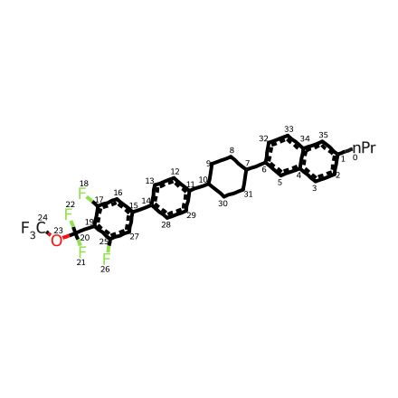 CCCc1ccc2cc(C3CCC(c4ccc(-c5cc(F)c(C(F)(F)OC(F)(F)F)c(F)c5)cc4)CC3)ccc2c1